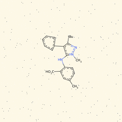 Cc1ccc(Nc2c(-c3ccccc3)c(C(C)(C)C)nn2C)c(C(=O)O)c1